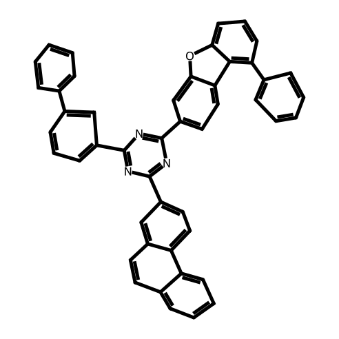 c1ccc(-c2cccc(-c3nc(-c4ccc5c(ccc6ccccc65)c4)nc(-c4ccc5c(c4)oc4cccc(-c6ccccc6)c45)n3)c2)cc1